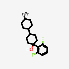 CCCC1CCC(C2CCC(O)(c3c(F)cccc3F)CC2)CC1